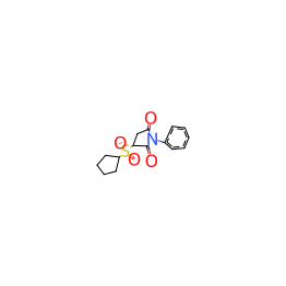 O=C1CC(S(=O)(=O)C2CCCC2)C(=O)N1c1ccccc1